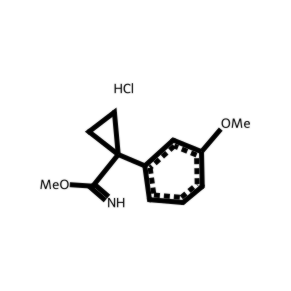 COC(=N)C1(c2cccc(OC)c2)CC1.Cl